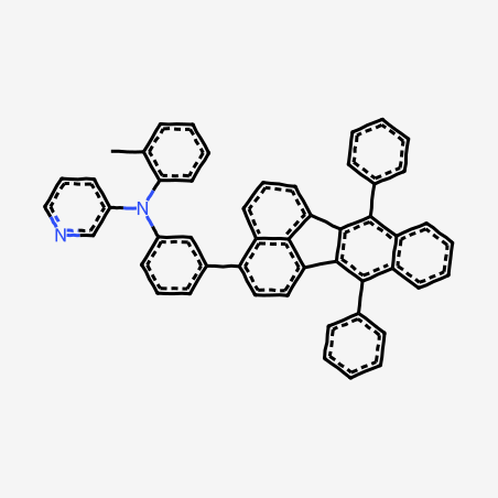 Cc1ccccc1N(c1cccnc1)c1cccc(-c2ccc3c4c(cccc24)-c2c-3c(-c3ccccc3)c3ccccc3c2-c2ccccc2)c1